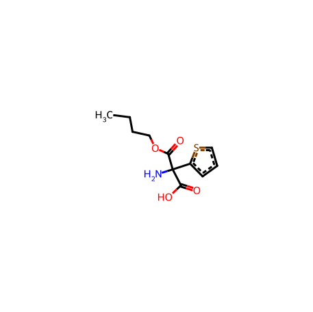 CCCCOC(=O)C(N)(C(=O)O)c1cccs1